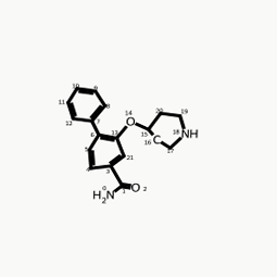 NC(=O)c1ccc(-c2ccccc2)c(OC2CCNCC2)c1